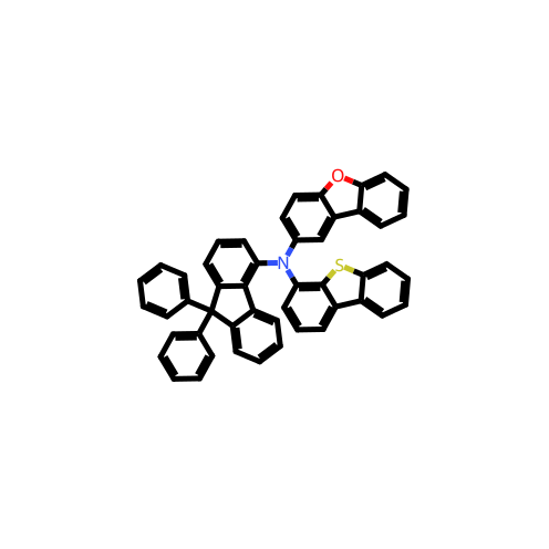 c1ccc(C2(c3ccccc3)c3ccccc3-c3c(N(c4ccc5oc6ccccc6c5c4)c4cccc5c4sc4ccccc45)cccc32)cc1